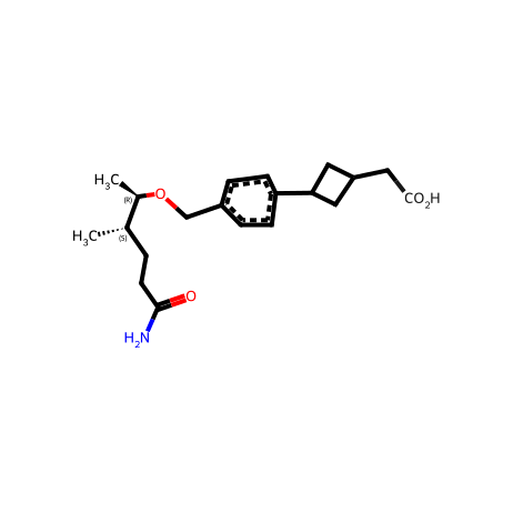 C[C@@H](CCC(N)=O)[C@@H](C)OCc1ccc(C2CC(CC(=O)O)C2)cc1